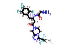 CC(F)(F)c1nnc2n1CCN(C(=O)CC(Cc1cc(F)c(F)cc1F)NC(=O)CN)C2